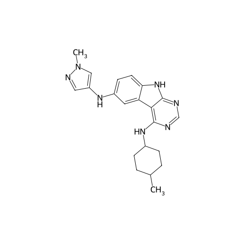 CC1CCC(Nc2ncnc3[nH]c4ccc(Nc5cnn(C)c5)cc4c23)CC1